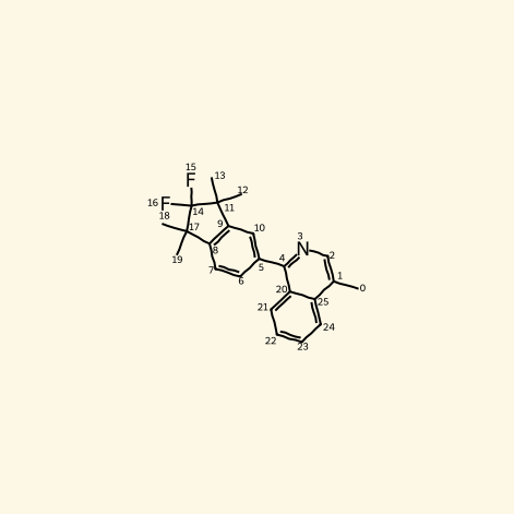 Cc1cnc(-c2ccc3c(c2)C(C)(C)C(F)(F)C3(C)C)c2ccccc12